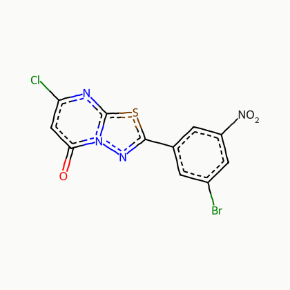 O=c1cc(Cl)nc2sc(-c3cc(Br)cc([N+](=O)[O-])c3)nn12